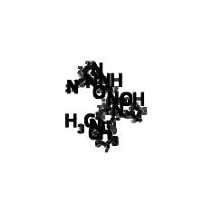 CN(C)[C@]1(c2ccccc2)CC[C@]2(CC1)CN(CC(=O)Nc1nccc(C#N)n1)C(O)N2CC1CCC1